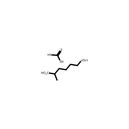 CCCCCCCCCCCCC(C)C(=O)O.S=C(S)S